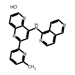 Cc1cccc(-c2cc(Nc3nccc4cnccc34)c3ncccc3n2)n1.Cl